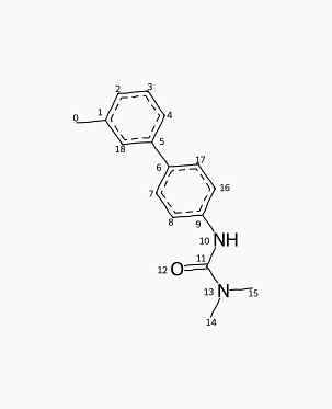 Cc1cccc(-c2ccc(NC(=O)N(C)C)cc2)c1